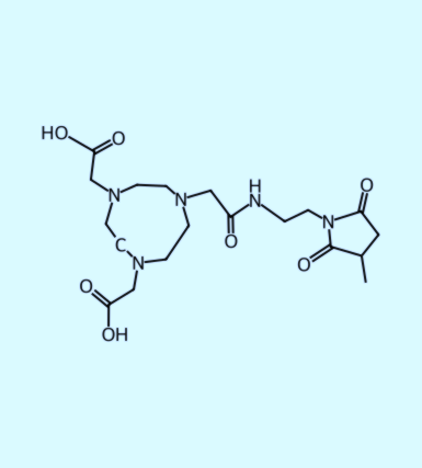 CC1CC(=O)N(CCNC(=O)CN2CCN(CC(=O)O)CCN(CC(=O)O)CC2)C1=O